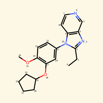 CCc1nc2cnccc2n1-c1ccc(OC)c(OC2CCCC2)c1